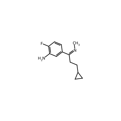 C/N=C(/CCC1CC1)c1ccc(F)c(N)c1